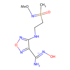 CON=S(C)(=O)CCNc1nonc1/C(N)=N/O